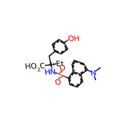 CC[C@@](Cc1ccc(O)cc1)(NS(=O)(=O)c1cccc2c(N(C)C)cccc12)C(=O)O